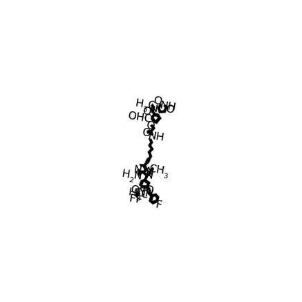 C[C@H](Oc1cc(-c2nn(C)c3c(C#CCCCCCCNC(=O)COc4cccc(C(=O)N(C)C5CCC(=O)NC5=O)c4C=O)cnc(N)c23)ccc1N[S+]([O-])C(F)F)c1ccc(F)cc1